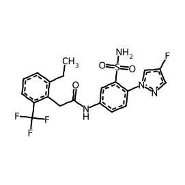 CCc1cccc(C(F)(F)F)c1CC(=O)Nc1ccc(-n2cc(F)cn2)c(S(N)(=O)=O)c1